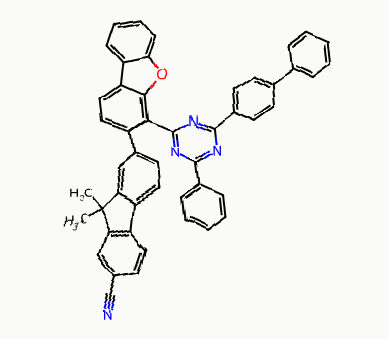 CC1(C)c2cc(C#N)ccc2-c2ccc(-c3ccc4c(oc5ccccc54)c3-c3nc(-c4ccccc4)nc(-c4ccc(-c5ccccc5)cc4)n3)cc21